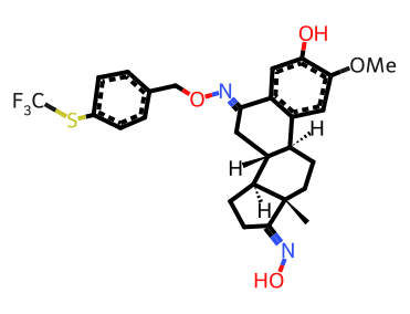 COc1cc2c(cc1O)/C(=N/OCc1ccc(SC(F)(F)F)cc1)C[C@@H]1[C@@H]2CC[C@]2(C)/C(=N/O)CC[C@@H]12